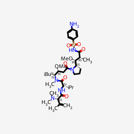 C=C(C)[C@@H](C(=O)N[C@H](C(=O)N(C)[C@@H]([C@@H](C)CC)[C@@H](CC(=O)N1CCC[C@H]1[C@H](OC)[C@@H](C)C(=O)NS(=O)(=O)c1ccc(N)cc1)OC)C(C)C)N(C)C